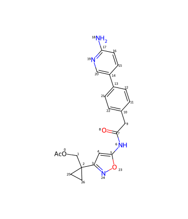 CC(=O)OCC1(c2cc(NC(=O)Cc3ccc(-c4ccc(N)nc4)cc3)on2)CC1